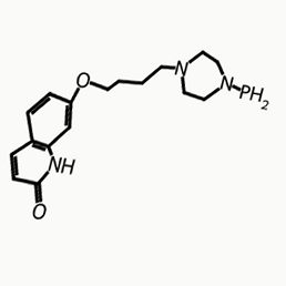 O=c1ccc2ccc(OCCCCN3CCN(P)CC3)cc2[nH]1